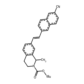 CC1c2cc(C=Cc3ccc4cc(C#N)ccc4c3)ccc2CCN1C(=O)OC(C)(C)C